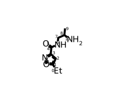 CCc1cc(C(=O)NCC(C)N)no1